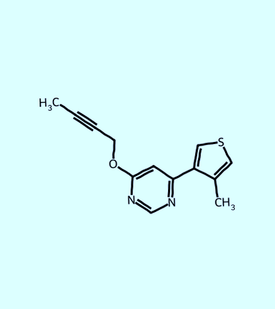 CC#CCOc1cc(-c2cscc2C)ncn1